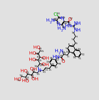 N=C(NCCCCc1ccc(CC(N)C(=O)Nc2ccc(CCCN(CC(O)C(O)C(O)C(O)CO)CC(O)C(O)C(O)C(O)CO)cc2)c2ccccc12)NC(=O)c1nc(Cl)c(N)nc1N